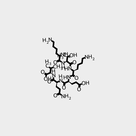 CC(C)[C@H](NC(=O)[C@H](CCC(N)=O)NC(=O)[C@H](CCC(=O)O)NC(=O)[C@H](CCCCN)NC(=O)[C@@H](NC(=O)[C@@H](N)CCCCN)[C@@H](C)O)C(=O)O